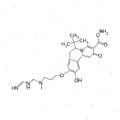 CC(C)(C)C1Cc2cc(OCCCN(I)CNC=N)c(O)cc2-c2cc(=O)c(C(=O)ON)cn21